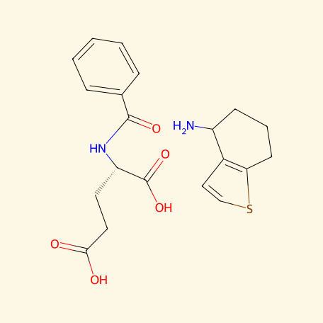 NC1CCCc2sccc21.O=C(O)CC[C@H](NC(=O)c1ccccc1)C(=O)O